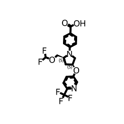 O=C(O)c1ccc(N2C[C@@H](Oc3ccc(C(F)(F)F)nc3)C[C@H]2COC(F)F)cc1